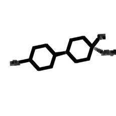 CCCCCCC[C@]1(C#N)CC[C@@H](C2CCC(CCCC)CC2)CC1